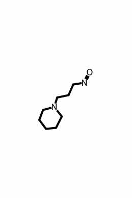 O=NCCCN1CCCCC1